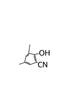 Cc1cc(C)c(O)c(C#N)c1